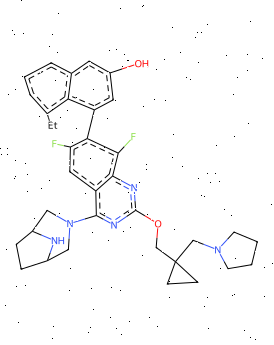 CCc1cccc2cc(O)cc(-c3c(F)cc4c(N5CC6CCC(C5)N6)nc(OCC5(CN6CCCC6)CC5)nc4c3F)c12